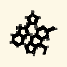 COc1c2occc2cc2ccc(=O)oc12.c1ccc2[nH]c(-c3cscn3)nc2c1